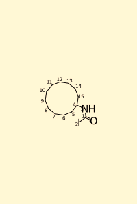 O=C(I)NC1CCCCCCCCCCC1